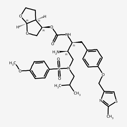 COc1ccc(S(=O)(=O)N(CC(C)C)C[C@@H](N)[C@H](Cc2ccc(OCc3csc(C)n3)cc2)NC(=O)O[C@H]2CO[C@H]3OCC[C@H]32)cc1